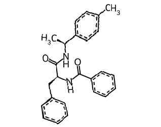 Cc1ccc([C@H](C)NC(=O)[C@H](Cc2ccccc2)NC(=O)c2ccccc2)cc1